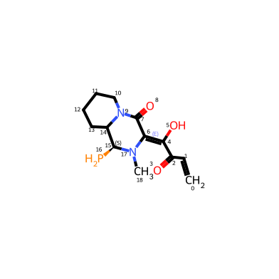 C=CC(=O)/C(O)=C1/C(=O)N2CCCCC2[C@H](P)N1C